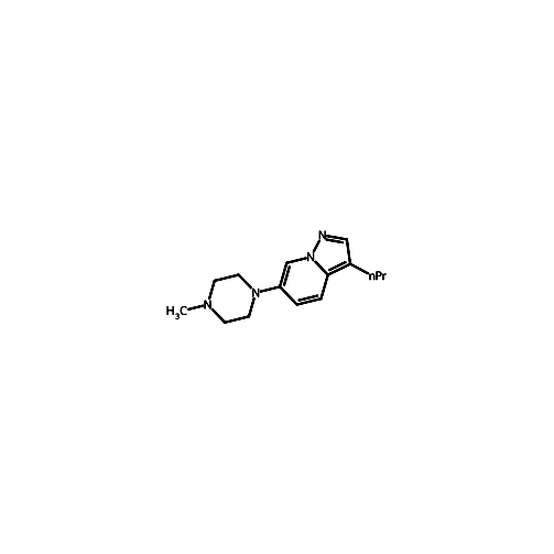 CCCc1cnn2cc(N3CCN(C)CC3)ccc12